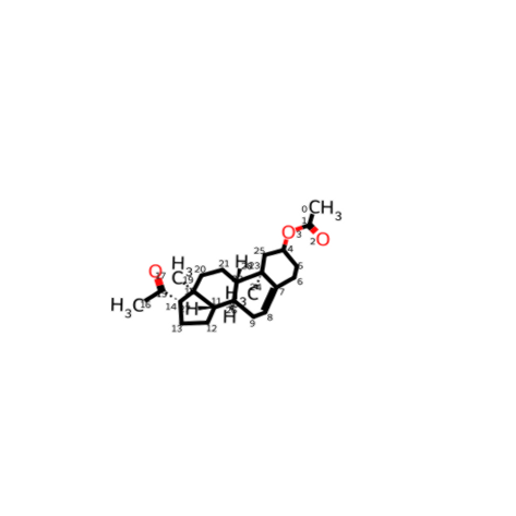 CC(=O)OC1CCC2=CC[C@H]3[C@@H]4CC[C@H](C(C)=O)[C@@]4(C)CC[C@@H]3[C@@]2(C)C1